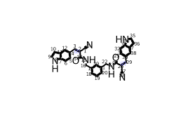 N#C/C(=C/c1ccc2[nH]ccc2c1)C(=O)NCc1cccc(CNC(=O)/C(C#N)=C\c2ccc3[nH]ccc3c2)c1